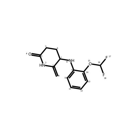 C=C1NC(=O)CCC1Nc1ccccc1OC(F)F